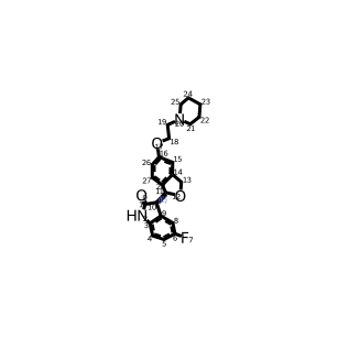 O=C1Nc2ccc(F)cc2/C1=C1\OCc2cc(OCCN3CCCCC3)ccc21